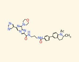 CC(=O)N1c2ccc(-c3ccc(C(=O)NCCCNC(=O)c4cn5cc(-c6cncnc6)nc(N6CCOCC6)c5n4)cc3)cc2CC[C@@H]1C